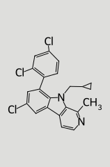 Cc1nccc2c3cc(Cl)cc(-c4ccc(Cl)cc4Cl)c3n(CC3CC3)c12